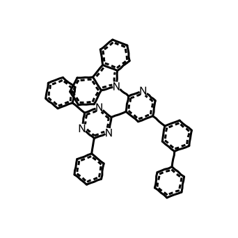 c1ccc(-c2cccc(-c3cnc(-n4c5ccccc5c5ccccc54)c(-c4nc(-c5ccccc5)nc(-c5ccccc5)n4)c3)c2)cc1